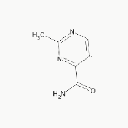 Cc1nc[c]c(C(N)=O)n1